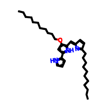 CCCCCCCCCCCOc1cc(-c2ccc[nH]2)[nH]c1C=C1C=CC(CCCCCCCCCCC)=N1